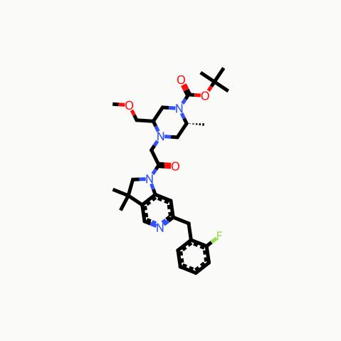 COCC1CN(C(=O)OC(C)(C)C)[C@H](C)CN1CC(=O)N1CC(C)(C)c2cnc(Cc3ccccc3F)cc21